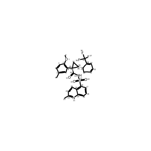 COc1ccc(C)cc1[C@]1(C(=O)NS(=O)(=O)c2cccc3nc(C)ccc23)C[C@@H]1C1CC=CC=C1C(F)(F)F